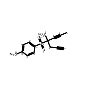 C#CCC(C#CC)(C(=O)O)S(=O)(=O)c1ccc(OC)cc1